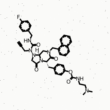 C#CCN(C(=O)NCc1ccc(F)cc1)N1CC(=O)N2[C@@H](Cc3ccc(OC(=O)NCCN(C)C)cc3)C(=O)N(Cc3cccc4ccccc34)C[C@@H]21